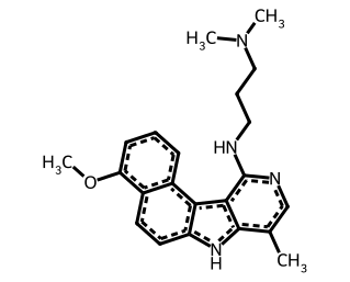 COc1cccc2c1ccc1[nH]c3c(C)cnc(NCCCN(C)C)c3c12